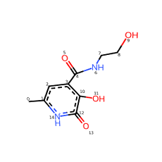 Cc1cc(C(=O)NCCO)c(O)c(=O)[nH]1